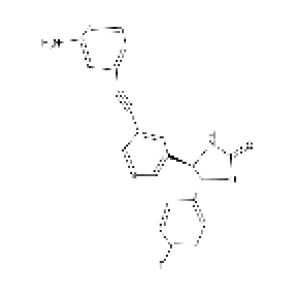 Nc1cccc(C#Cc2cncc([C@H]3NC(=O)O[C@@H]3c3ccc(F)cc3)c2)c1